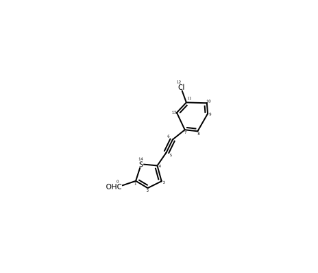 O=Cc1ccc(C#Cc2cccc(Cl)c2)s1